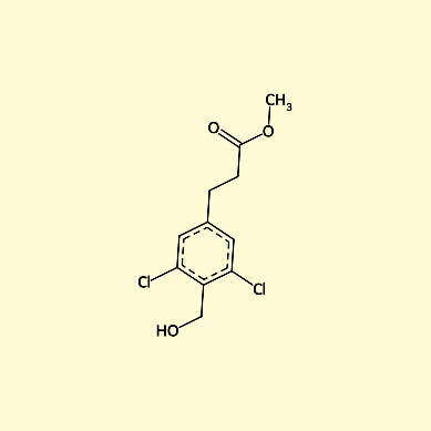 COC(=O)CCc1cc(Cl)c(CO)c(Cl)c1